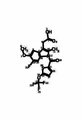 COc1cc2c(CC(=O)O)c(C)n(C(=O)c3ccc(OC(F)(F)F)s3)c2cc1F